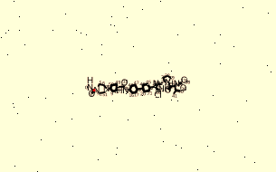 CNC(=O)N1CCN(c2ccc(C(=O)Nc3ccc(-c4ccc(-c5nc([C@@H]6CCCN6C(=O)[C@@H](NC(=O)OC)C(C)C)[nH]c5Cl)cc4)cc3)cc2)CC1